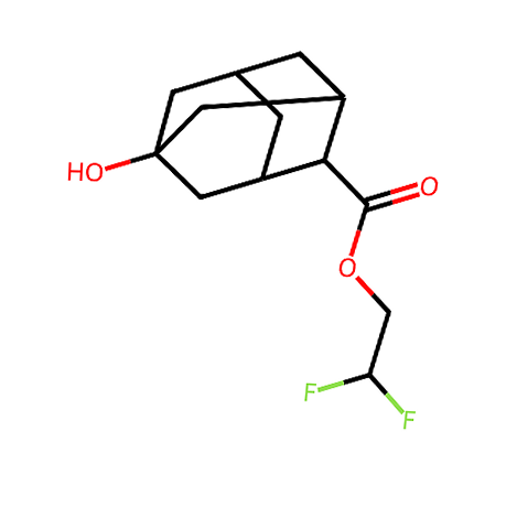 O=C(OCC(F)F)C1C2CC3CC1CC(O)(C3)C2